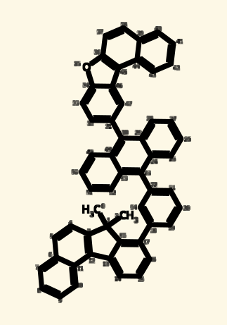 CC1(C)c2ccc3ccccc3c2-c2cccc(-c3cccc(-c4c5ccccc5c(-c5ccc6oc7ccc8ccccc8c7c6c5)c5ccccc45)c3)c21